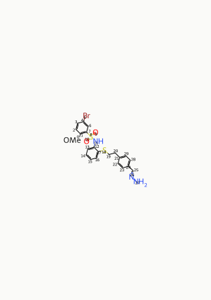 COc1ccc(Br)cc1S(=O)(=O)Nc1ccccc1SCCc1ccc(C=NN)cc1